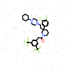 O=C(Cc1cc(C(F)(F)F)cc(C(F)(F)F)c1)N1CCCC(CCN2CCN(C3CCCCC3)CC2)(c2ccc(F)c(F)c2)C1